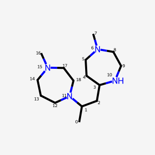 CC(CC1CCN(C)CCN1)N1CCCN(C)CC1